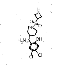 N[C@@H](c1cc(Cl)c(Cl)cc1O)C1CCN(S(=O)(=O)C2CNC2)CC1